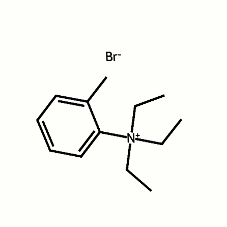 CC[N+](CC)(CC)c1ccccc1C.[Br-]